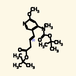 COc1cc(N(C)C(=O)OC(C)(C)C)c(/C=C/CC(=O)OC(C)(C)C)cn1